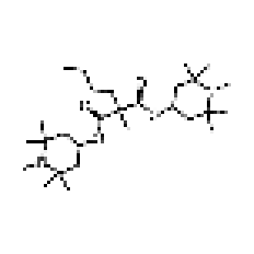 CCCCC(C)(C(=O)OC1CC(C)(C)N(C)C(C)(C)C1)C(=O)OC1CC(C)(C)N(C)C(C)(C)C1